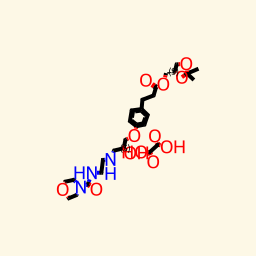 CC1(C)OC[C@@H](COC(=O)CCc2ccc(OC[C@@H](O)CNCCNC(=O)N3CCOCC3)cc2)O1.O=C(O)C(=O)O